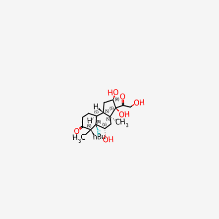 CCCC[C@@]1(C)C(=O)CC[C@H]2[C@@H]3C[C@@H](O)[C@](O)(C(=O)CO)[C@@]3(C)C[C@H](O)[C@@]21F